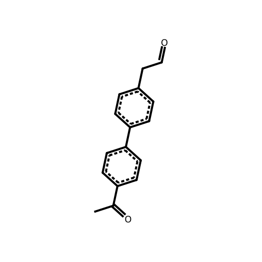 CC(=O)c1ccc(-c2ccc(CC=O)cc2)cc1